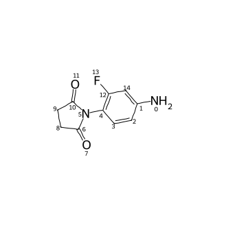 Nc1ccc(N2C(=O)CCC2=O)c(F)c1